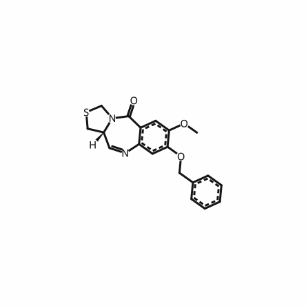 COc1cc2c(cc1OCc1ccccc1)N=C[C@@H]1CSCN1C2=O